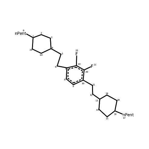 CCCCCC1CCC(CCc2ccc(CCC3CCC(CCCCC)CC3)c(F)c2F)CC1